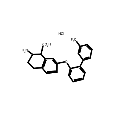 Cl.NC1CCc2ccc(Oc3ccccc3-c3cccc(C(F)(F)F)c3)cc2C1C(=O)O